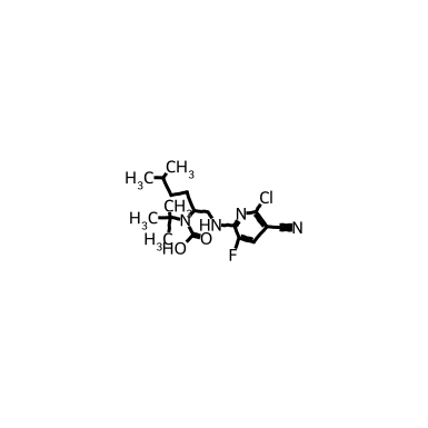 CC(C)CCC(CNc1nc(Cl)c(C#N)cc1F)N(C(=O)O)C(C)(C)C